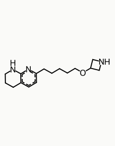 c1cc2c(nc1CCCCCOC1CNC1)NCCC2